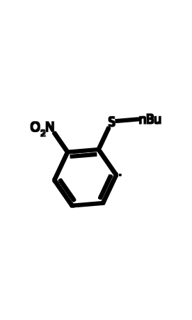 CCCCSc1[c]cccc1[N+](=O)[O-]